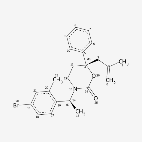 C=C(C)C[C@]1(c2ccccc2)CCN([C@@H](C)c2ccc(Br)cc2C)C(=O)O1